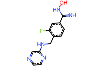 N=C(NO)c1ccc(CNc2cnccn2)c(F)c1